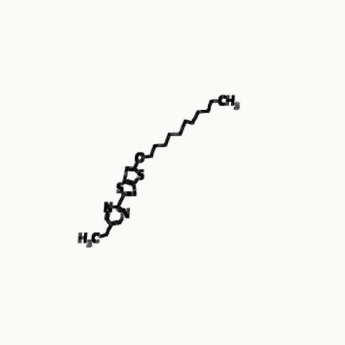 CCCCCCCCCCCOc1cc2sc(-c3ncc(CC)cn3)cc2s1